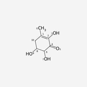 CC1=C(O)C(=O)C(O)C(O)C1